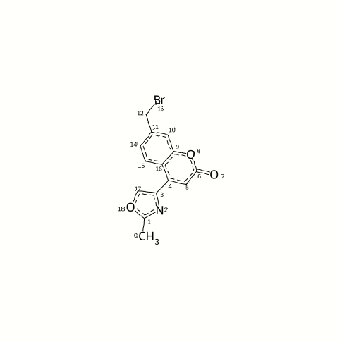 Cc1nc(-c2cc(=O)oc3cc(CBr)ccc23)co1